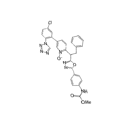 COC(=O)Nc1ccc(-c2nnc(C(Cc3ccccc3)c3ccc(-c4cc(Cl)ccc4-n4cnnn4)c[n+]3[O-])o2)cc1